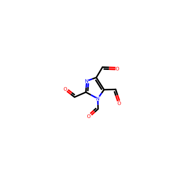 O=Cc1nc(C=O)n(C=O)c1C=O